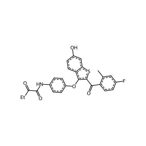 CCC(=O)C(=O)Nc1ccc(Oc2c(C(=O)c3ccc(F)cc3C)sc3cc(O)ccc23)cc1